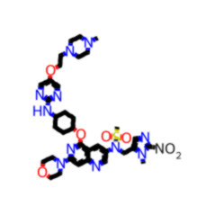 CN1CCN(CCOc2cnc(NC3CCC(Oc4nc(N5CCOCC5)cc5ncc(N(Cc6cnc([N+](=O)[O-])n6C)S(C)(=O)=O)cc45)CC3)nc2)CC1